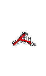 CCC(=O)NCCOCCOCC(COCCOCCNC(=O)CC)OCC(=O)NCCC(=O)NCCCCONC(=O)OC(C)(C)C